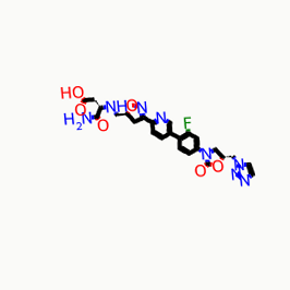 NC(=O)[C@H](CC(=O)O)NC[C@@H]1CC(c2ccc(-c3ccc(N4C[C@H](Cn5ccnn5)OC4=O)cc3F)cn2)=NO1